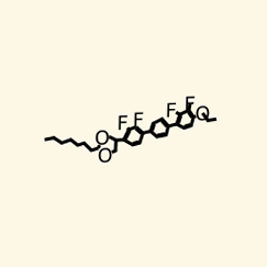 CCCCCCCC1OCC(c2ccc(-c3ccc(-c4ccc(OCC)c(F)c4F)cc3)c(F)c2F)CO1